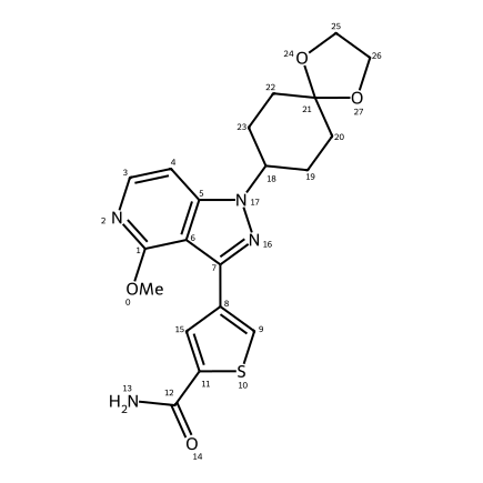 COc1nccc2c1c(-c1csc(C(N)=O)c1)nn2C1CCC2(CC1)OCCO2